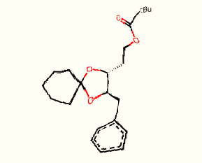 CC(C)(C)C(=O)OCC[C@H]1OC2(CCCCC2)O[C@@H]1Cc1ccccc1